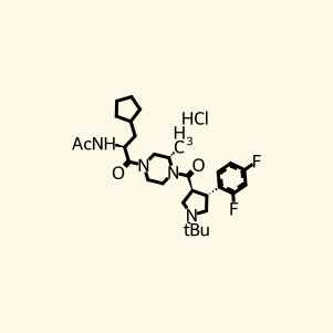 CC(=O)N[C@@H](CC1CCCC1)C(=O)N1CCN(C(=O)[C@@H]2CN(C(C)(C)C)C[C@H]2c2ccc(F)cc2F)[C@@H](C)C1.Cl